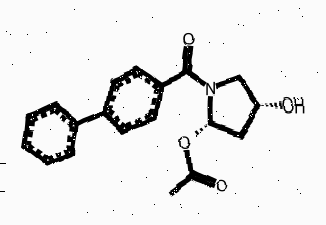 CC(=O)O[C@H]1C[C@@H](O)CN1C(=O)c1ccc(-c2ccccc2)cc1